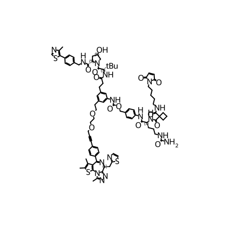 Cc1ncsc1-c1ccc(CNC(=O)[C@@H]2C[C@@H](O)CN2C(=O)[C@@H](NC(=O)CCc2cc(CCOCCOCC#Cc3ccc(C4=N[C@@H](Cc5nccs5)c5nnc(C)n5-c5sc(C)c(C)c54)cc3)cc(NC(=O)OCc3ccc(NC(=O)[C@H](CCCNC(N)=O)NC(=O)C4(C(=O)NCCCCCN5C(=O)C=CC5=O)CCC4)cc3)c2)C(C)(C)C)cc1